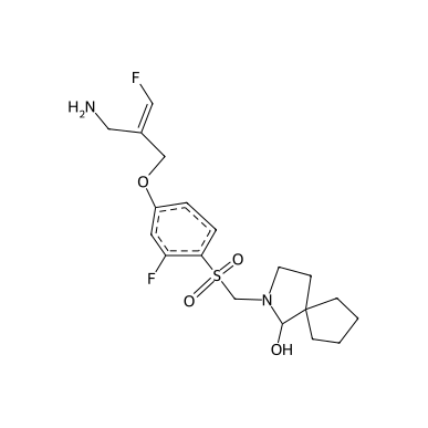 NC/C(=C\F)COc1ccc(S(=O)(=O)CN2CCC3(CCCC3)C2O)c(F)c1